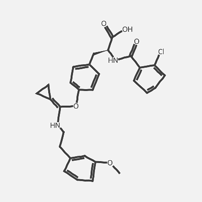 COc1cccc(CCNC(Oc2ccc(C[C@H](NC(=O)c3ccccc3Cl)C(=O)O)cc2)=C2CC2)c1